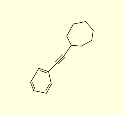 C(#CC1CCCCCC1)c1ccccc1